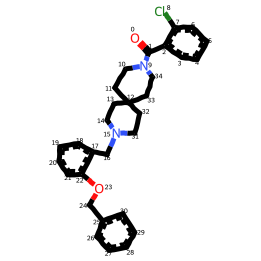 O=C(c1ccccc1Cl)N1CCC2(CCN(Cc3ccccc3OCc3ccccc3)CC2)CC1